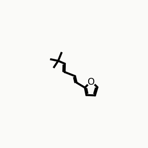 CC(C)(C)/C=C/C=C/c1ccco1